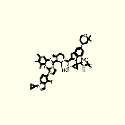 Cc1cc(-n2nc3c(c2-n2ccn(-c4ccc5c(cnn5C5CC5)c4F)c2=O)[C@H](C)N(C(=O)c2cc4cc([C@H]5CCOC(C)(C)C5)ccc4n2[C@@]2(c4noc(=S)[nH]4)C[C@@H]2CO)CC3)cc(C)c1F